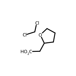 ClCCl.O=C(O)CC1CCCO1